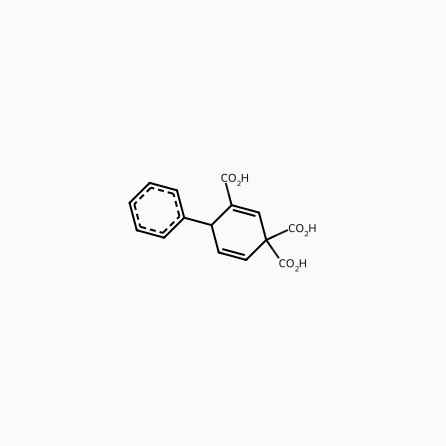 O=C(O)C1=CC(C(=O)O)(C(=O)O)C=CC1c1ccccc1